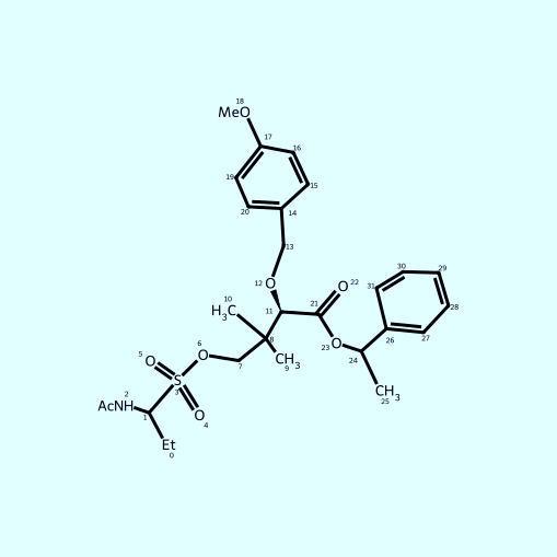 CCC(NC(C)=O)S(=O)(=O)OCC(C)(C)[C@@H](OCc1ccc(OC)cc1)C(=O)OC(C)c1ccccc1